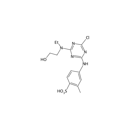 CCN(CCO)c1nc(Cl)nc(Nc2ccc(S(=O)(=O)O)c(C)c2)n1